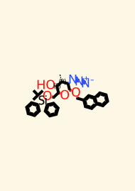 C[C@@H]1C(N=[N+]=[N-])C(OCc2ccc3ccccc3c2)OC(CO[Si](c2ccccc2)(c2ccccc2)C(C)(C)C)[C@H]1O